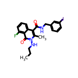 CCCNn1c(C)c(C(=O)NCc2cccc(I)c2)c2cccc(F)c2c1=O